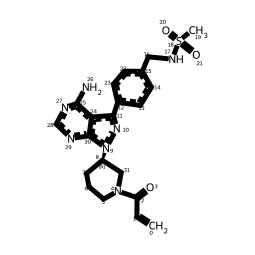 C=CC(=O)N1CCC[C@@H](n2nc(-c3ccc(CNS(C)(=O)=O)cc3)c3c(N)ncnc32)C1